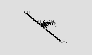 CCCCCCCCCCCCCCCCOCC(COCCCCCCCCCCCCCCCC)NC(=O)C(C)OCC(C)OC